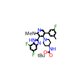 CNc1ncc(-c2cc(C)cc(F)c2)c(N2CCC(NC(=O)OC(C)(C)C)CC2)c1-c1nc2cc(F)cc(F)c2[nH]1